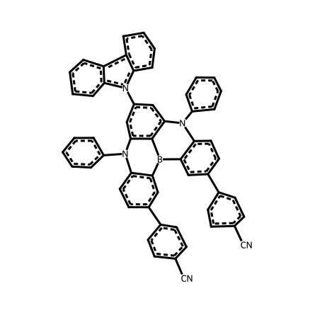 N#Cc1ccc(-c2ccc3c(c2)B2c4cc(-c5ccc(C#N)cc5)ccc4N(c4ccccc4)c4cc(-n5c6ccccc6c6ccccc65)cc(c42)N3c2ccccc2)cc1